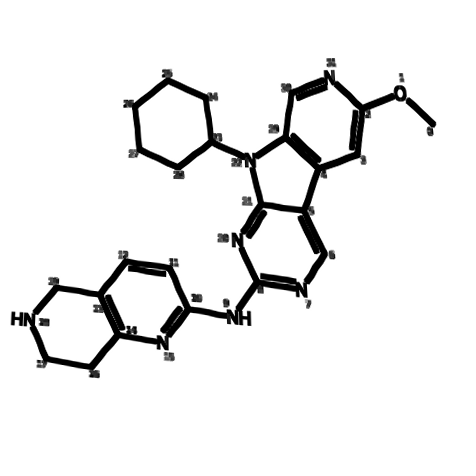 COc1cc2c3cnc(Nc4ccc5c(n4)CCNC5)nc3n(C3CCCCC3)c2cn1